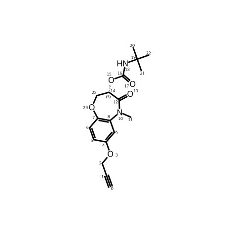 C#CCOc1ccc2c(c1)N(C)C(=O)[C@@H](OC(=O)NC(C)(C)C)CO2